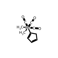 [CH3][Mn]([CH3])(=[C]=O)(=[C]=O)(=[C]=O)[C]1=CC=CC1